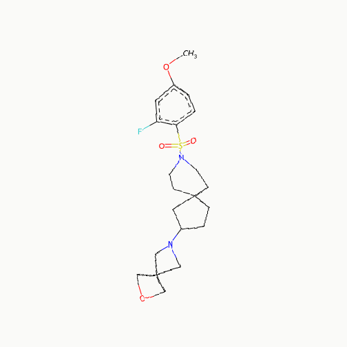 COc1ccc(S(=O)(=O)N2CCC3(CCC(N4CC5(COC5)C4)C3)CC2)c(F)c1